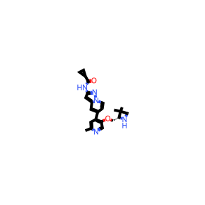 Cc1cc(-c2ccn3nc(NC(=O)C4CC4)cc3c2)c(OC[C@H]2NCC2(C)C)cn1